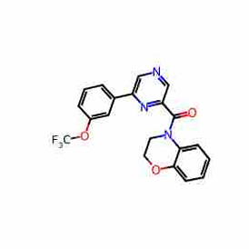 O=C(c1cncc(-c2cccc(OC(F)(F)F)c2)n1)N1CCOc2ccccc21